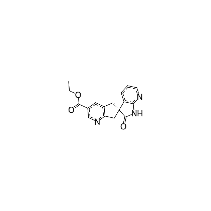 CCOC(=O)c1cnc2c(c1)C[C@@]1(C2)C(=O)Nc2ncccc21